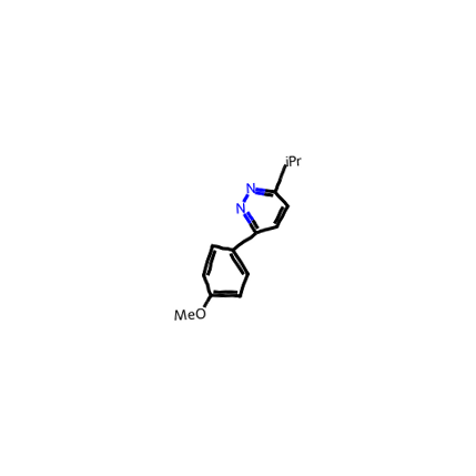 COc1ccc(-c2ccc(C(C)C)nn2)cc1